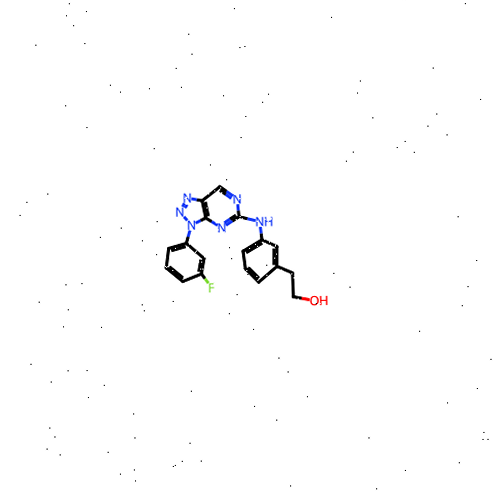 OCCc1cccc(Nc2ncc3nnn(-c4cccc(F)c4)c3n2)c1